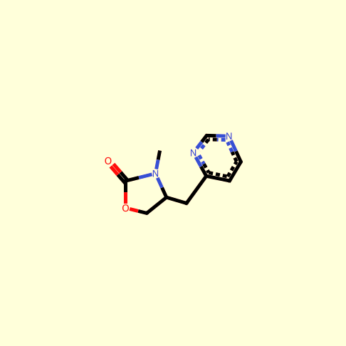 CN1C(=O)OCC1Cc1ccncn1